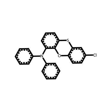 Clc1ccc2c(c1)Sc1cccc(N(c3ccccc3)c3ccccc3)c1O2